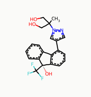 CC(CO)(CO)n1cc(-c2cccc3c2-c2ccccc2[C@]3(O)C(F)(F)F)cn1